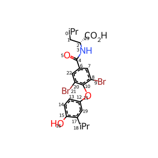 CC(C)C[C@@H](NC(=O)c1cc(Br)c(Oc2ccc(O)c(C(C)C)c2)c(Br)c1)C(=O)O